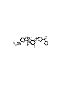 COc1cccc(C(=O)Nc2cc(F)cc(CN3CCN(C(=O)C4CCCC4)CC3)c2C)c1